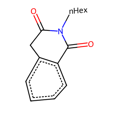 CCCCCCN1C(=O)Cc2ccccc2C1=O